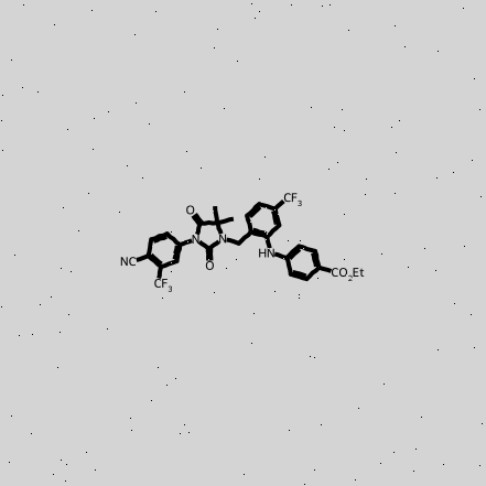 CCOC(=O)c1ccc(Nc2cc(C(F)(F)F)ccc2CN2C(=O)N(c3ccc(C#N)c(C(F)(F)F)c3)C(=O)C2(C)C)cc1